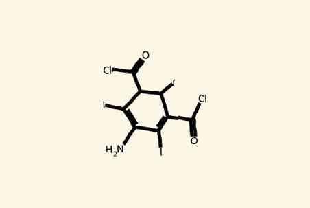 NC1=C(I)C(C(=O)Cl)C(I)C(C(=O)Cl)=C1I